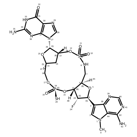 Cn1cc([C@@H]2O[C@@H]3CNS(=O)(=O)O[C@@H]4C[C@@H](CO[P@](=O)(S)O[C@H]3[C@H]2F)O[C@@H]4n2cnc3c(=O)[nH]c(N)nc32)c2ncnc(N)c21